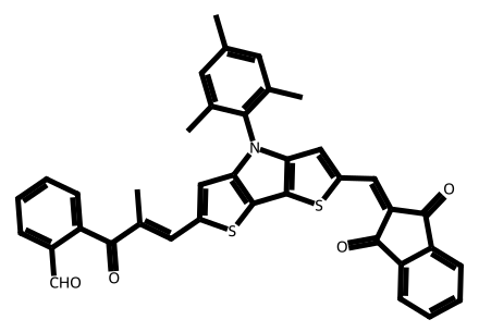 C/C(=C\c1cc2c(s1)c1sc(C=C3C(=O)c4ccccc4C3=O)cc1n2-c1c(C)cc(C)cc1C)C(=O)c1ccccc1C=O